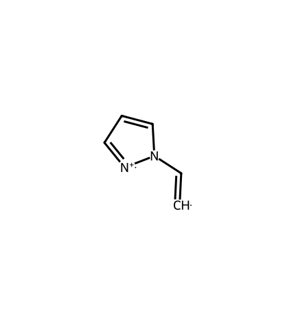 [CH]=CN1C=CC=[N+]1